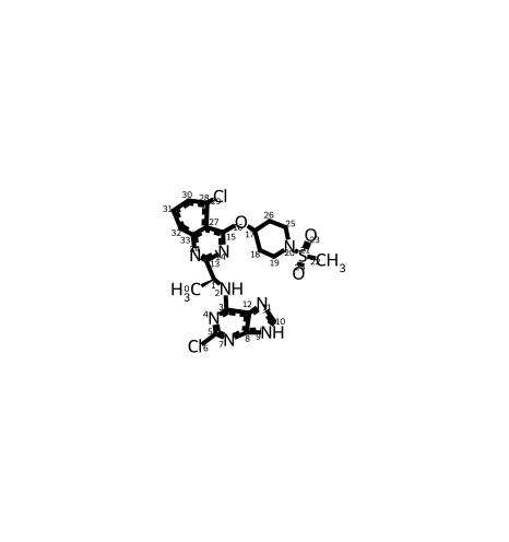 C[C@H](Nc1nc(Cl)nc2[nH]cnc12)c1nc(OC2CCN(S(C)(=O)=O)CC2)c2c(Cl)cccc2n1